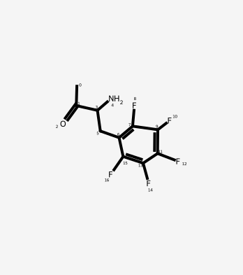 CC(=O)C(N)Cc1c(F)c(F)c(F)c(F)c1F